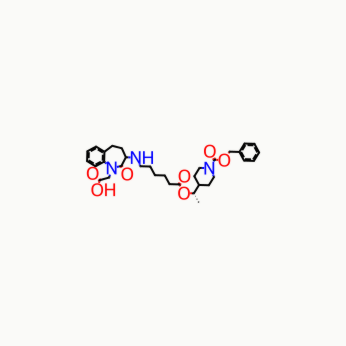 C[C@H](OC(=O)CCCCCNC1CCc2ccccc2N(CC(=O)O)C1=O)C1CCN(C(=O)OCc2ccccc2)CC1